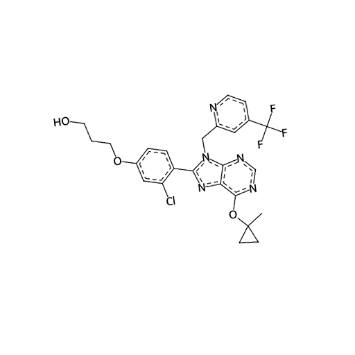 CC1(Oc2ncnc3c2nc(-c2ccc(OCCCO)cc2Cl)n3Cc2cc(C(F)(F)F)ccn2)CC1